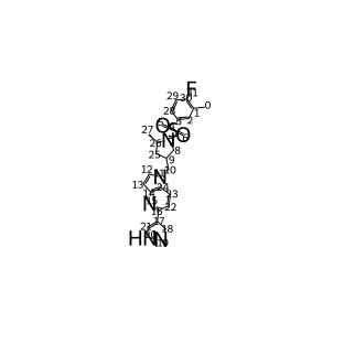 Cc1cc(S(=O)(=O)N2CC(Cn3ccc4nc(-c5cn[nH]c5)ccc43)C[C@H]2C)ccc1F